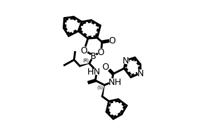 C=C(N[C@@H](CC(C)C)B1OC(=O)c2ccc3ccccc3c2O1)[C@H](Cc1ccccc1)NC(=O)c1cnccn1